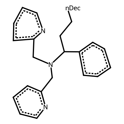 CCCCCCCCCCCCC(c1ccccc1)N(Cc1ccccn1)Cc1ccccn1